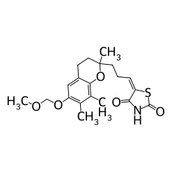 COCOc1cc2c(c(C)c1C)OC(C)(CCC=C1SC(=O)NC1=O)CC2